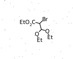 CCOC(=O)C(Br)C(OCC)OCC